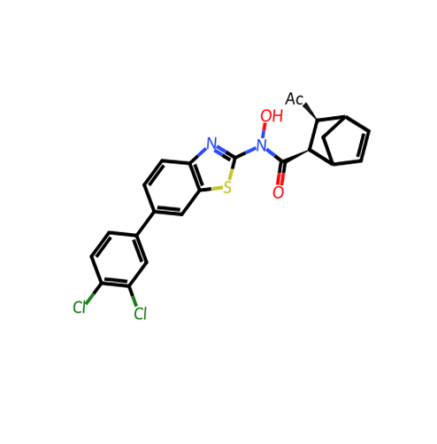 CC(=O)[C@H]1C2C=CC(C2)[C@H]1C(=O)N(O)c1nc2ccc(-c3ccc(Cl)c(Cl)c3)cc2s1